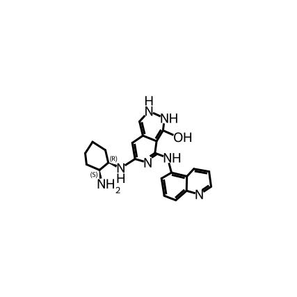 N[C@H]1CCCC[C@H]1Nc1cc2c(c(Nc3cccc4ncccc34)n1)=C(O)NNC=2